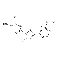 Cc1nc(-c2ccnc(NCl)n2)sc1C(=O)N[C@@H](C)CO